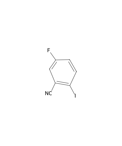 N#Cc1cc(F)ccc1I